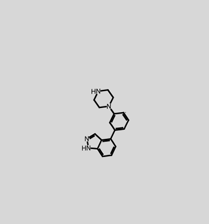 [c]1ccc(-c2cccc3[nH]ncc23)cc1N1CCNCC1